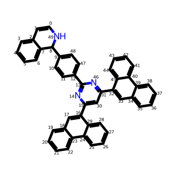 C1=Cc2ccccc2C(c2ccc(-c3nc(-c4cc5ccccc5c5ccccc45)cc(-c4cc5ccccc5c5ccccc45)n3)cc2)N1